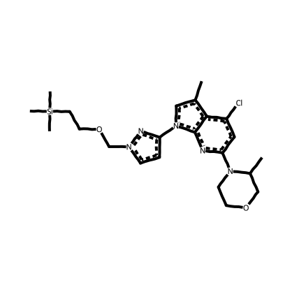 Cc1cn(-c2ccn(COCC[Si](C)(C)C)n2)c2nc(N3CCOCC3C)cc(Cl)c12